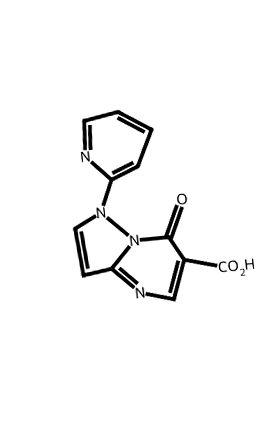 O=C(O)c1cnc2ccn(-c3ccccn3)n2c1=O